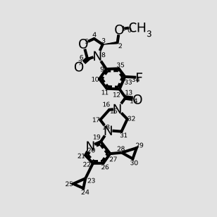 COC[C@@H]1COC(=O)N1c1ccc(C(=O)N2CCN(c3ncc(C4CC4)cc3C3CC3)CC2)c(F)c1